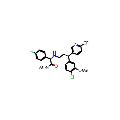 CNC(=O)[C@H](NCC[C@@H](c1ccc(C(F)(F)F)nc1)c1ccc(Cl)c(OC)c1)c1ccc(F)cc1